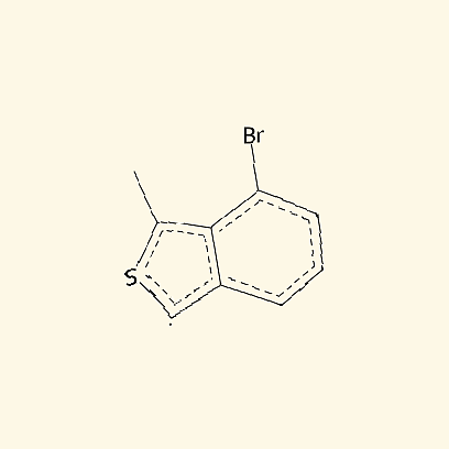 Cc1s[c]c2cccc(Br)c12